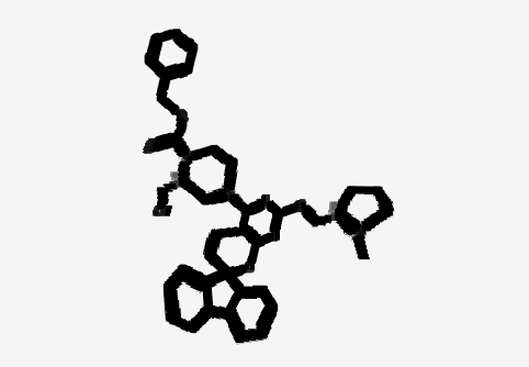 CN1CCC[C@H]1COc1nc2c(c(N3CCN(C(=O)OCc4ccccc4)[C@@H](CC#N)C3)n1)CCC1(O2)c2ccccc2-c2ccccc21